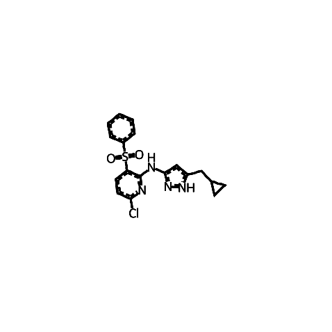 O=S(=O)(c1ccccc1)c1ccc(Cl)nc1Nc1cc(CC2CC2)[nH]n1